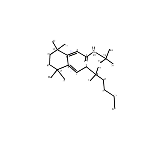 C=C(/C=C1\C(=C/CC(C)(C)CCCC)C(C)(C)CCC1(C)C)NC(C)(C)C